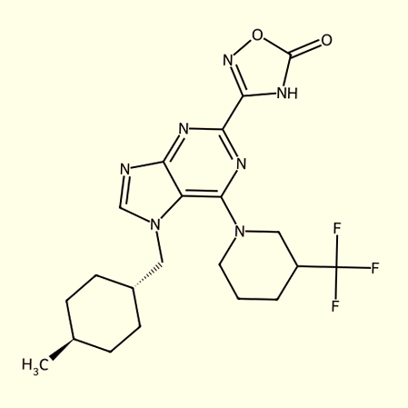 C[C@H]1CC[C@H](Cn2cnc3nc(-c4noc(=O)[nH]4)nc(N4CCCC(C(F)(F)F)C4)c32)CC1